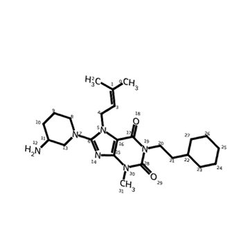 CC(C)=CCn1c(N2CCCC(N)C2)nc2c1c(=O)n(CCC1CCCCC1)c(=O)n2C